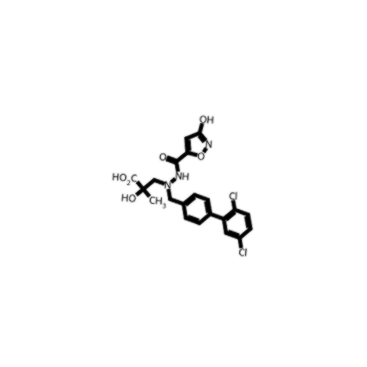 CC(O)(CN(Cc1ccc(-c2cc(Cl)ccc2Cl)cc1)NC(=O)c1cc(O)no1)C(=O)O